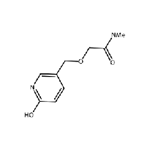 CNC(=O)COCc1ccc(O)nc1